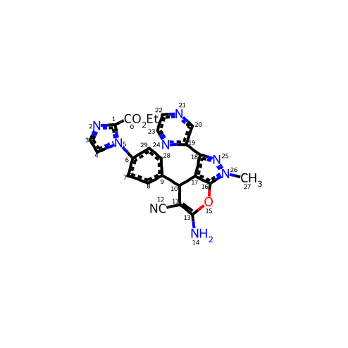 CCOC(=O)c1nccn1-c1ccc(C2C(C#N)=C(N)Oc3c2c(-c2cnccn2)nn3C)cc1